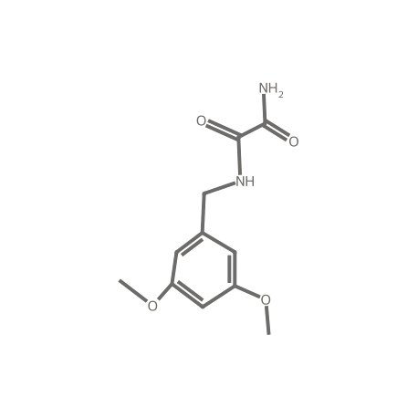 COc1cc(CNC(=O)C(N)=O)cc(OC)c1